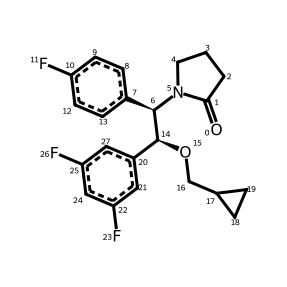 O=C1CCCN1[C@H](c1ccc(F)cc1)[C@@H](OCC1CC1)c1cc(F)cc(F)c1